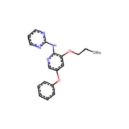 COCCOc1cc(Oc2ccccc2)cnc1Nc1ncccn1